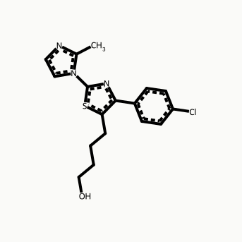 Cc1nccn1-c1nc(-c2ccc(Cl)cc2)c(CCCCO)s1